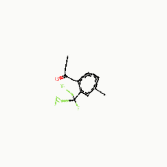 CC(=O)c1ccc(C)cc1C(F)(F)F